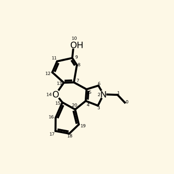 CCN1CC2=C(C1)c1cc(O)ccc1Oc1ccccc12